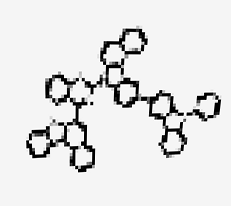 c1ccc(-n2c3ccccc3c3cc(-c4ccc5c(c4)c4c6ccccc6ccc4n5-c4nc(-c5cc6ccccc6c6c5sc5ccccc56)c5ccccc5n4)ccc32)cc1